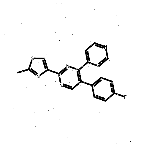 Cc1nc(-c2ncc(-c3ccc(F)cc3)c(-c3ccncc3)n2)cs1